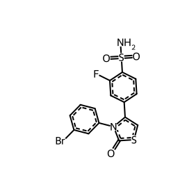 NS(=O)(=O)c1ccc(-c2csc(=O)n2-c2cccc(Br)c2)cc1F